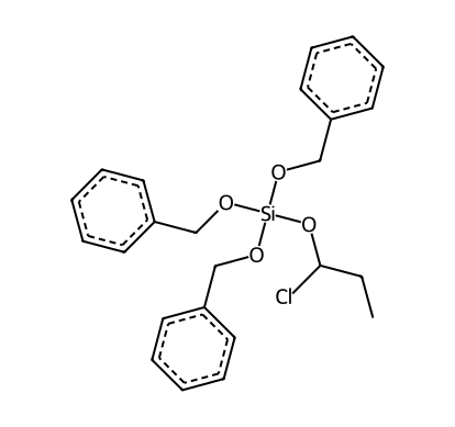 CCC(Cl)O[Si](OCc1ccccc1)(OCc1ccccc1)OCc1ccccc1